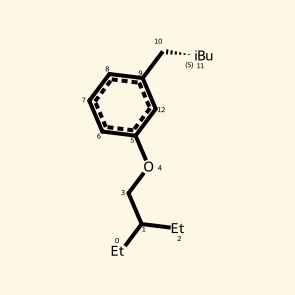 CCC(CC)COc1cccc(C[C@@H](C)CC)c1